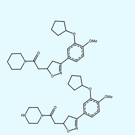 COc1ccc(C2=NOC(CC(=O)N3CCCCC3)C2)cc1OC1CCCC1.COc1ccc(C2=NOC(CC(=O)N3CCNCC3)C2)cc1OC1CCCC1